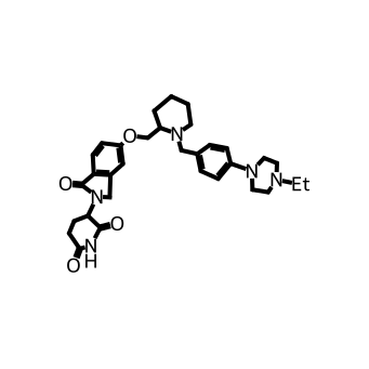 CCN1CCN(c2ccc(CN3CCCCC3COc3ccc4c(c3)CN(C3CCC(=O)NC3=O)C4=O)cc2)CC1